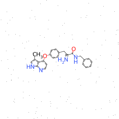 Cc1c[nH]c2nccc(Oc3ccc(C[C@@H](N)C(=O)NCc4ccccc4)cc3)c12